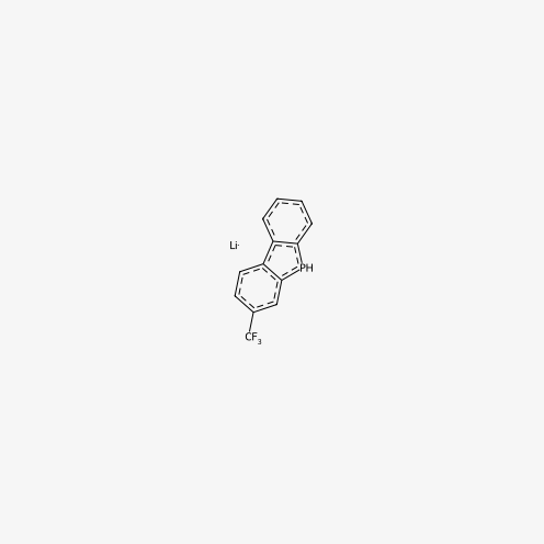 FC(F)(F)c1ccc2c(c1)[pH]c1ccccc12.[Li]